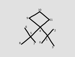 CC(C)(C)C1(C(C)(C)C)CCC1